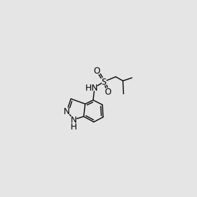 CC(C)CS(=O)(=O)Nc1cccc2[nH]ncc12